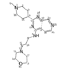 CN1CCC(c2nc(NCCSN3CCOCC3)c3ccncc3n2)CC1